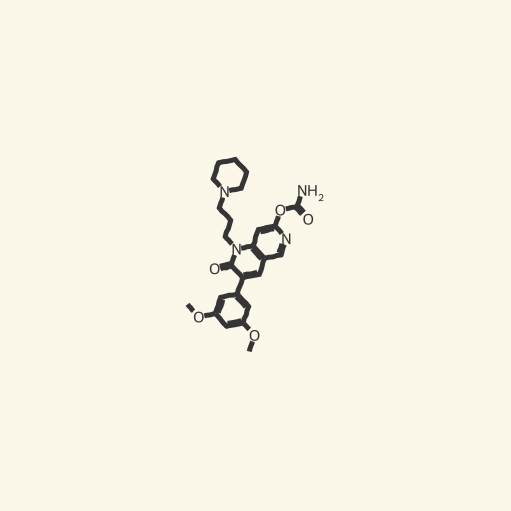 COc1cc(OC)cc(-c2cc3cnc(OC(N)=O)cc3n(CCCN3CCCCC3)c2=O)c1